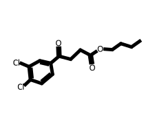 CCCCOC(=O)CCC(=O)c1ccc(Cl)c(Cl)c1